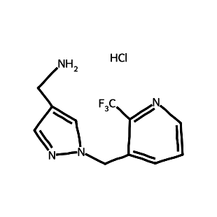 Cl.NCc1cnn(Cc2cccnc2C(F)(F)F)c1